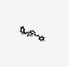 O=C1C(P(O)NCc2ccccn2)CCCN1OCc1ccccc1